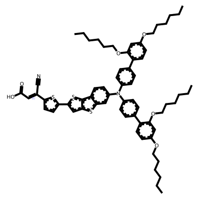 CCCCCCOc1ccc(-c2ccc(N(c3ccc(-c4ccc(OCCCCCC)cc4OCCCCCC)cc3)c3ccc4c(c3)sc3cc(-c5ccc(/C(C#N)=C/C(=O)O)s5)sc34)cc2)c(OCCCCCC)c1